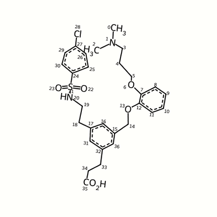 CN(C)CCCOc1ccccc1OCc1cc(CCNS(=O)(=O)c2ccc(Cl)cc2)cc(CCC(=O)O)c1